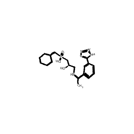 CC(NC[C@@H](O)CP(=O)(O)CC1CCCCC1)c1cccc(-c2nnn[nH]2)c1